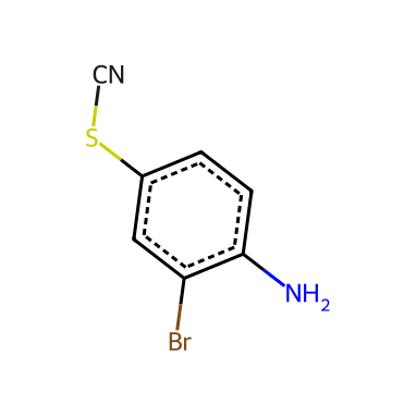 N#CSc1ccc(N)c(Br)c1